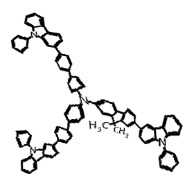 CC1(C)c2cc(-c3ccc4c(c3)c3ccccc3n4-c3ccccc3)ccc2-c2ccc(N(c3ccc(-c4ccc(-c5ccc6c7ccccc7n(-c7ccccc7)c6c5)cc4)cc3)c3ccc(-c4ccc(-c5ccc6c7ccccc7n(-c7ccccc7)c6c5)cc4)cc3)cc21